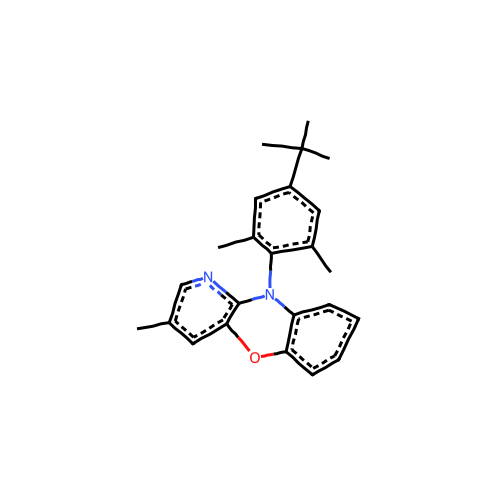 Cc1cnc2c(c1)Oc1ccccc1N2c1c(C)cc(C(C)(C)C)cc1C